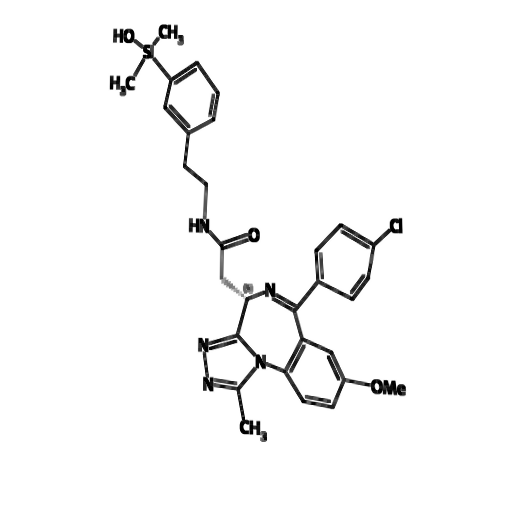 COc1ccc2c(c1)C(c1ccc(Cl)cc1)=N[C@@H](CC(=O)NCCc1cccc([Si](C)(C)O)c1)c1nnc(C)n1-2